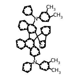 Cc1ccc(N(c2ccccc2)c2ccc3c4c(c5ccccc5c3c2)-c2c(cc(N(c3ccccc3)c3ccc(C)c(C)c3)c3ccccc23)C42c3ccccc3-c3ccccc32)cc1C